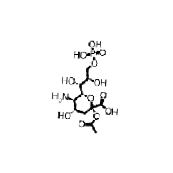 CC(=O)O[C@@]1(C(=O)O)C[C@H](O)[C@@H](N)[C@H]([C@H](O)[C@H](O)COP(=O)(O)O)O1